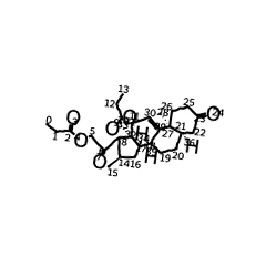 CCC(=O)OCC(=O)[C@@]1(OC(=O)CC)[C@H](C)C[C@H]2[C@@H]3CC[C@@H]4CC(=O)CC[C@]4(C)C3=CC[C@@]21C